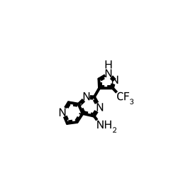 Nc1nc(-c2c[nH]nc2C(F)(F)F)nc2cnccc12